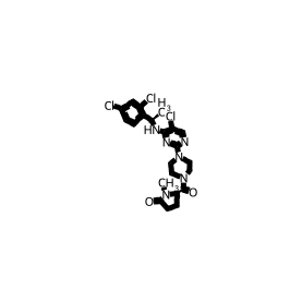 C[C@@H](Nc1nc(N2CCN(C(=O)[C@H]3CCC(=O)N3C)CC2)ncc1Cl)c1ccc(Cl)cc1Cl